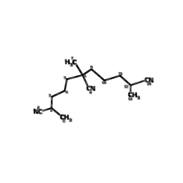 CC(C#N)CCCC(C)(C#N)CCCC(C)C#N